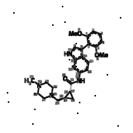 COc1cccc(OC)c1-c1c[nH]c2nc(NC(=O)[C@@H]3C[C@H]3CN3CCN(C)CC3)ccc12